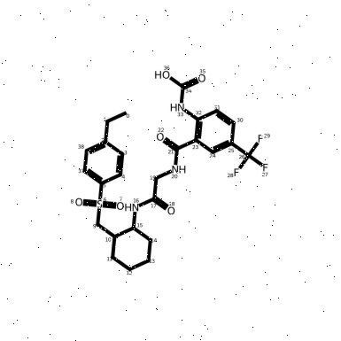 CCc1ccc(S(=O)(=O)CC2CCCCC2NC(=O)CNC(=O)c2cc(C(F)(F)F)ccc2NC(=O)O)cc1